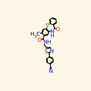 Cc1cc2c(cc1C(=O)NCc1cnc(-c3ccc(C#N)cc3)s1)NC(=O)c1ccccc1S2